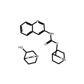 O=C(Nc1cnc2ccccc2c1)OC1CN2CCC1CC2.OC1CN2CCC1CC2